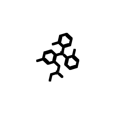 CCN(C)Cc1cc(C)cc[c]1[Bi]([c]1ccccc1C)[c]1ccccc1C